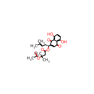 CC(=O)OC(C)(C)CC(=O)O[C@@H](CC=C(C)C)C1=CC(=O)c2c(O)ccc(O)c2C1=O